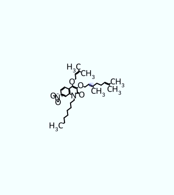 CCCCCCCCn1c(=O)c(OC/C=C(\C)CCC=C(C)C)c(OCC=C(C)C)c2ccc([N+](=O)[O-])cc21